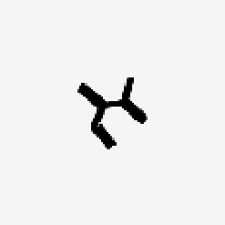 C=CC(=C)C(=C)C